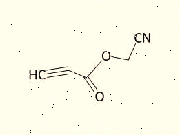 C#CC(=O)OCC#N